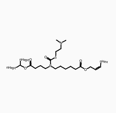 CCCCCC/C=C\COC(=O)CCCCCN(CCCC(=O)OC(CCCCCCC)CCCCCCC)C(=O)SCCN(C)C